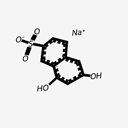 O=S(=O)([O-])c1ccc2cc(O)cc(O)c2c1.[Na+]